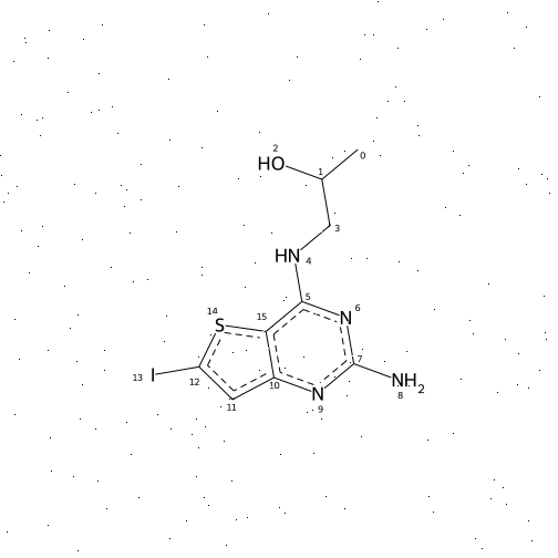 CC(O)CNc1nc(N)nc2cc(I)sc12